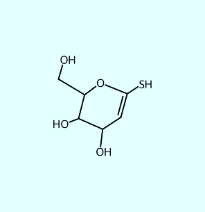 OCC1OC(S)=CC(O)C1O